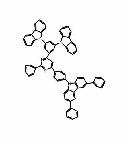 c1ccc(-c2ccc3c(c2)c2cc(-c4ccccc4)ccc2n3-c2ccc(-c3cc(-c4cc(-n5c6ccccc6c6ccccc65)cc(-n5c6ccccc6c6ccccc65)c4)nc(-c4ccccc4)n3)cc2)cc1